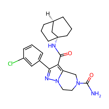 NC(=O)N1CCn2nc(-c3cccc(Cl)c3)c(C(=O)N[C@]34CCC[C@H](CCC3)C4)c2C1